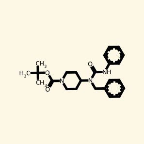 CC(C)(C)OC(=O)N1CCC(N(Cc2ccccc2)C(=O)Nc2ccccc2)CC1